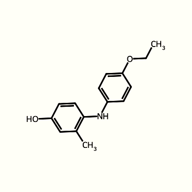 CCOc1ccc(Nc2ccc(O)cc2C)cc1